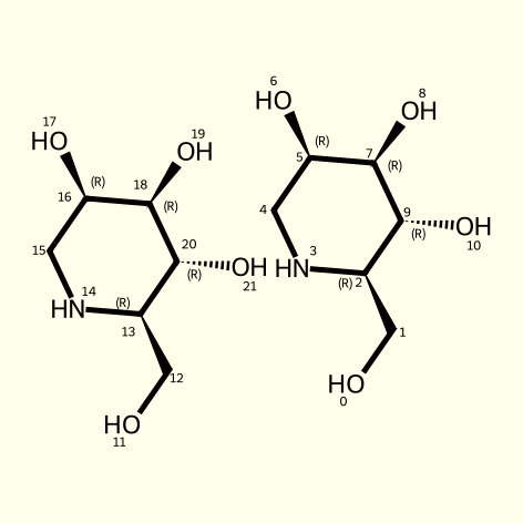 OC[C@H]1NC[C@@H](O)[C@@H](O)[C@@H]1O.OC[C@H]1NC[C@@H](O)[C@@H](O)[C@@H]1O